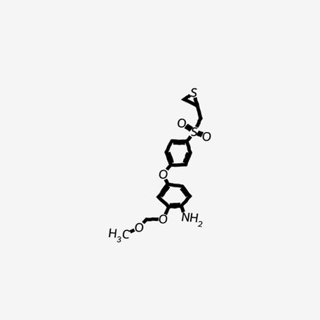 COCOc1cc(Oc2ccc(S(=O)(=O)CC3CS3)cc2)ccc1N